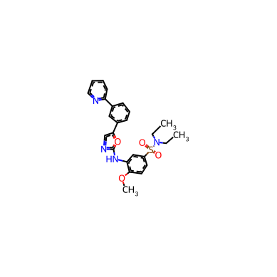 CCN(CC)S(=O)(=O)c1ccc(OC)c(Nc2ncc(-c3cccc(-c4ccccn4)c3)o2)c1